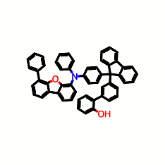 Oc1ccccc1-c1cccc(C2(c3ccc(N(c4ccccc4)c4cccc5c4oc4c(-c6ccccc6)cccc45)cc3)c3ccccc3-c3ccccc32)c1